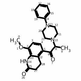 COc1ccc(C(=O)C(C)N2CCN(c3ccccc3)CC2)c2c1NC(=O)CC2